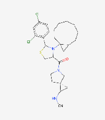 N#CNC1C[C@@]12CCN(C(=O)C1CSC(c3ccc(Cl)cc3Cl)N1C13CCCCCCCC1C3)C2